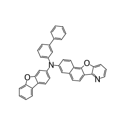 c1ccc(-c2cccc(N(c3ccc4c(ccc5c6ncccc6oc45)c3)c3ccc4c(c3)oc3ccccc34)c2)cc1